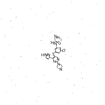 CN1CCN(c2ncc(Sc3cc(Cl)cc(NC(=O)CN)c3)c(-c3cc[nH]n3)n2)CC1